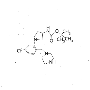 CC(C)(C)OC(=O)NC1CCN(c2cc(Cl)ccc2CN2CCNCC2)C1